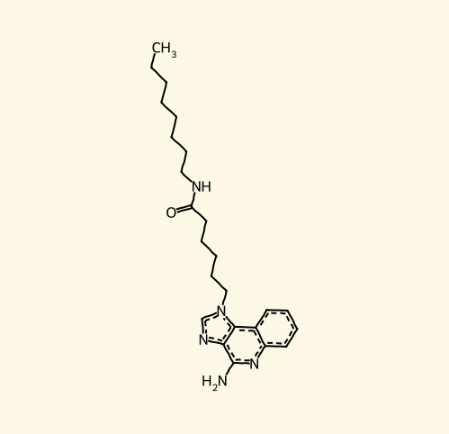 CCCCCCCCNC(=O)CCCCCn1cnc2c(N)nc3ccccc3c21